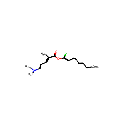 CCCCCCCCCCCCCCCC(Cl)OC(=O)C(C)=CCCN(C)C